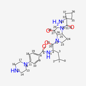 CC(C)CC(NC(=O)c1ccc(N2CCNCC2)cc1)C(=O)N1CCC2C1C(=O)CN2C(=O)C1(N)CCC1